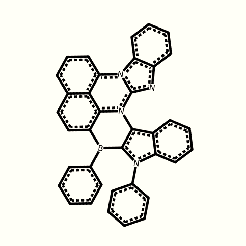 c1ccc(B2c3ccc4cccc5c4c3n(c3nc4ccccc4n53)-c3c2n(-c2ccccc2)c2ccccc32)cc1